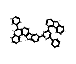 c1ccc(-c2cc(-c3cccc4sc5ccccc5c34)nc(-c3ccc4sc5c(ccc6c(-c7ccccc7)nc7ccccc7c65)c4c3)n2)cc1